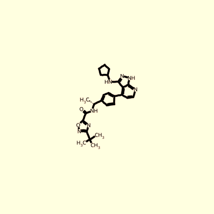 C[C@@H](NC(=O)c1nc(C(C)(C)C)no1)c1ccc(-c2ccnc3[nH]nc(NC4CCCC4)c23)cc1